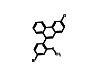 COc1cc(Br)ccc1-c1cc2ccc(Cl)cc2c2ccccc12